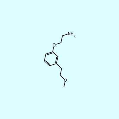 COCCc1cccc(OCCN)c1